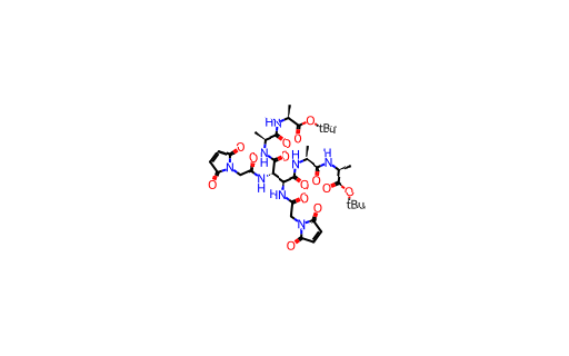 C[C@H](NC(=O)[C@@H](NC(=O)CN1C(=O)C=CC1=O)[C@H](NC(=O)CN1C(=O)C=CC1=O)C(=O)N[C@@H](C)C(=O)N[C@@H](C)C(=O)OC(C)(C)C)C(=O)N[C@@H](C)C(=O)OC(C)(C)C